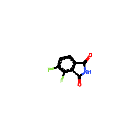 O=C1NC(=O)c2c1ccc(F)c2F